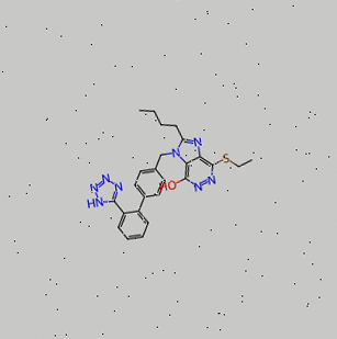 CCCCc1nc2c(SCC)nnc(O)c2n1Cc1ccc(-c2ccccc2-c2nnn[nH]2)cc1